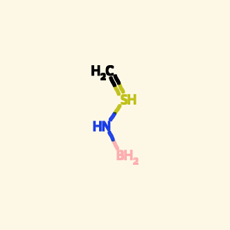 BN[SH]=C